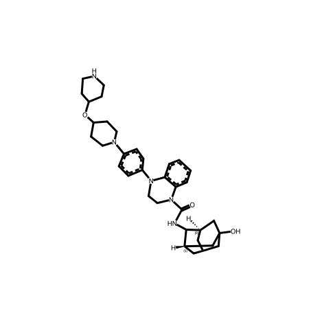 O=C(NC1[C@@H]2CC3C[C@H]1CC(O)(C3)C2)N1CCN(c2ccc(N3CCC(OC4CCNCC4)CC3)cc2)c2ccccc21